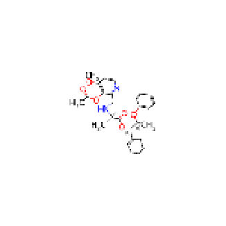 COc1ccnc(CN[C@@H](C)C(=O)O[C@@H](C2=CCCCC2)[C@H](C)Oc2ccccc2)c1OC(C)=O